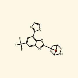 FC(F)(F)c1cc(-c2nccs2)c2oc(N3CC4CCC(C3)NC4)nc2c1